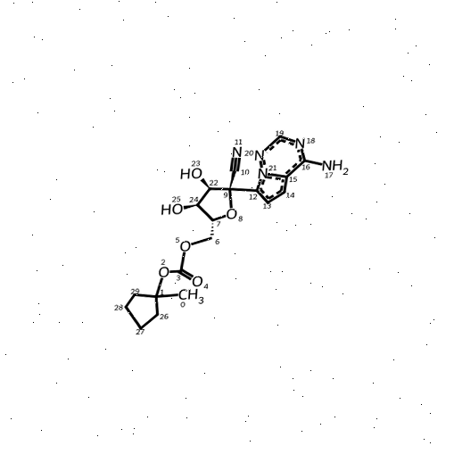 CC1(OC(=O)OC[C@H]2O[C@@](C#N)(c3ccc4c(N)ncnn34)[C@H](O)[C@@H]2O)CCCC1